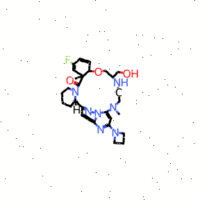 CN1CCNC(CO)COC2C=CC(F)=CC2(C)C(=O)N2CCCC[C@H]2c2cc3nc(N4CCC4)cc1n3n2